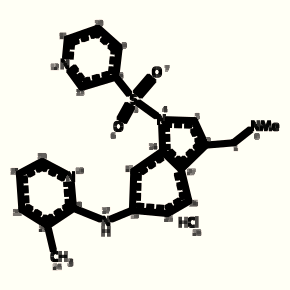 CNCc1cn(S(=O)(=O)c2cccnc2)c2cc(Nc3ncccc3C)ccc12.Cl